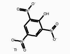 O=[N+]([O-])c1cc([N+](=O)[O-])c(O)c([N+](=O)[O-])c1.[Tl]